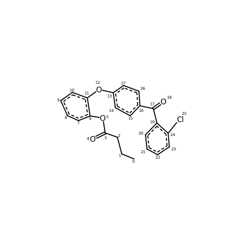 CCCC(=O)Oc1ccccc1Oc1ccc(C(=O)c2ccccc2Cl)cc1